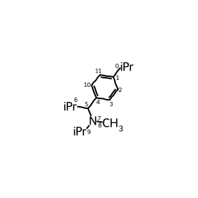 CC(C)c1ccc(C(C(C)C)N(C)C(C)C)cc1